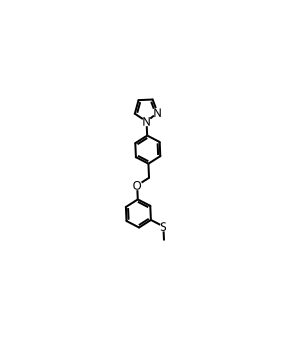 CSc1cccc(OCc2ccc(-n3cccn3)cc2)c1